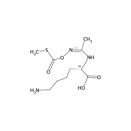 CSC(=O)O/N=C(/C)N[C@@H](CCCCN)C(=O)O